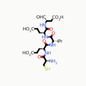 CC(C)[C@H](NC(=O)[C@H](CCC(=O)O)NC(=O)[C@@H](N)CS)C(=O)N[C@@H](CCC(=O)O)C(=O)N[C@H]([C]=O)CC(=O)O